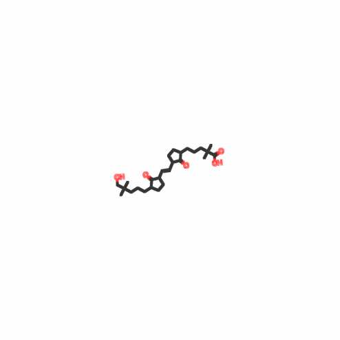 CC(C)(CO)CCCC1CCC(C=CC2CCC(CCCC(C)(C)C(=O)O)C2=O)C1=O